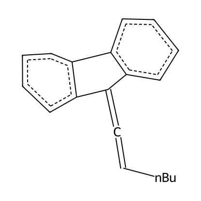 CCCCC=C=C1c2ccccc2-c2ccccc21